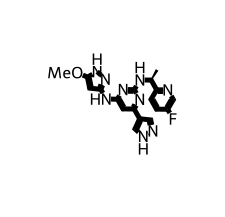 COc1cc(Nc2cc(-c3cn[nH]c3)nc(N[C@@H](C)c3ccc(F)cn3)n2)n[nH]1